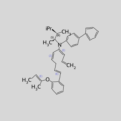 C=C/C=C(\C=C/C/C=C/c1ccccc1O/C(C)=C/C)N(c1ccc(-c2ccccc2)cc1)[C@@H](C)[C@H](C)C(C)C